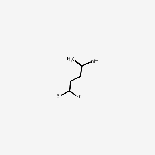 CCCC(C)CCC(CC)CC